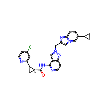 O=C(Nc1nccc2nn(Cc3cn4cc(C5CC5)ccc4n3)cc12)[C@H]1CC1c1cc(Cl)ccn1